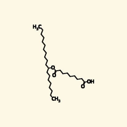 CCCCCCCCCCCC(CCCCCCCC)OC(=O)CCCCCCCC(=O)O